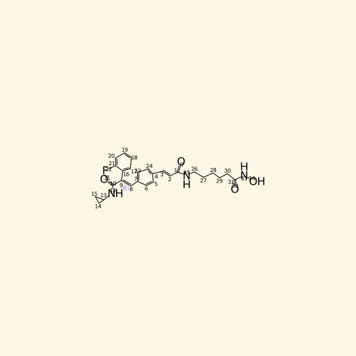 O=C(C=Cc1ccc(/C=C(/C(=O)NC2CC2)c2ccccc2F)cc1)NCCCCCC(=O)NO